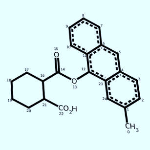 Cc1ccc2cc3ccccc3c(OC(=O)C3CCCCC3C(=O)O)c2c1